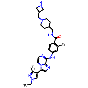 CCc1cc(Nc2nccn3c(-c4cn(CC#N)nc4C(F)(F)F)cnc23)ccc1C(=O)NCC1CCN(CC2CNC2)CC1